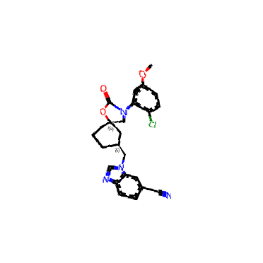 COc1ccc(Cl)c(N2C[C@@]3(CCC[C@H](Cn4cnc5ccc(C#N)cc54)C3)OC2=O)c1